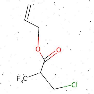 C=CCOC(=O)C(CCl)C(F)(F)F